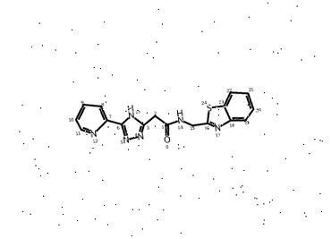 O=C(Cc1nnc(-c2ccccn2)[nH]1)NCc1nc2ccccc2s1